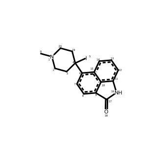 CN1CCC(I)(c2ccc3c4c(cccc24)NC3=O)CC1